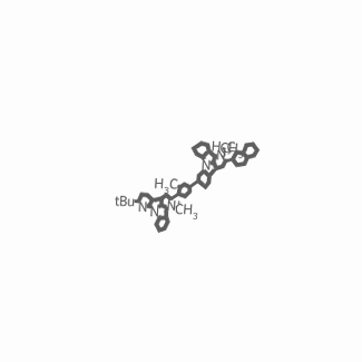 Cc1cc(-c2ccc3c4cc(-c5ccc6ccccc6c5C)[n+](C)c5c6ccccc6n(c3c2)c45)ccc1-c1cc2c3ccc(C(C)(C)C)nc3n3c4ccccc4c(c23)[n+]1C